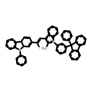 Cc1c(/C=C(\I)C2=CC3C(C=C2)c2ccccc2N3c2ccccc2)c2ccccc2n1-c1cccc(C2(c3ccccc3)c3ccccc3-c3ccccc32)c1